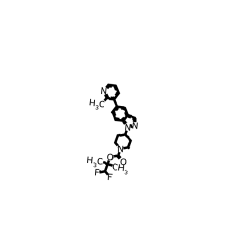 Cc1ncccc1-c1ccc2c(cnn2C2CCN(C(=O)OC(C)(C)C(F)F)CC2)c1